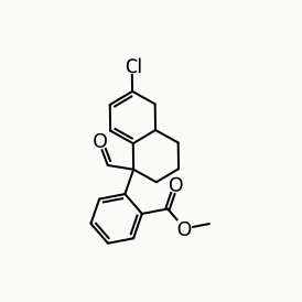 COC(=O)c1ccccc1C1(C=O)CCCC2CC(Cl)=CC=C21